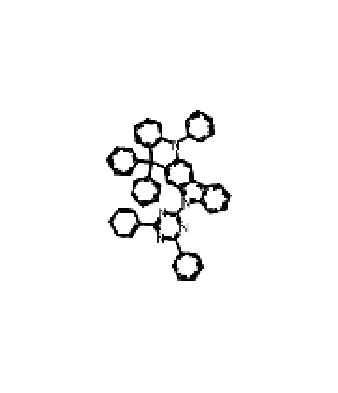 C1=CC(c2nc(-c3ccccc3)nc(-n3c4ccccc4c4cc5c(cc43)C(c3ccccc3)(c3ccccc3)c3ccccc3N5c3ccccc3)n2)=CCC1